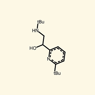 CC(C)(C)NCC(O)c1cccc(C(C)(C)C)n1